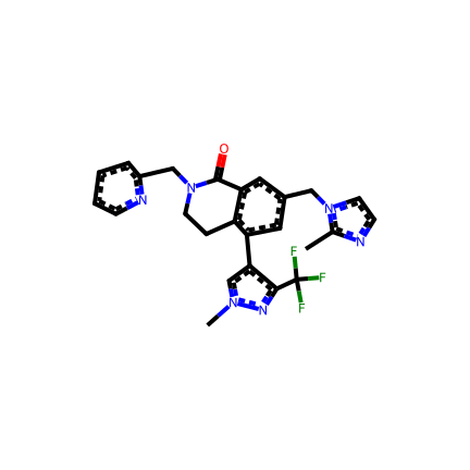 Cc1nccn1Cc1cc2c(c(-c3cn(C)nc3C(F)(F)F)c1)CCN(Cc1ccccn1)C2=O